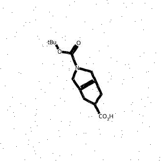 CC(C)(C)OC(=O)N1CC2=C(CC(C(=O)O)C2)C1